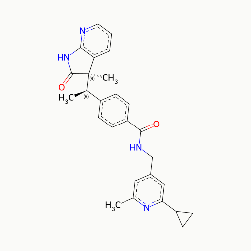 Cc1cc(CNC(=O)c2ccc([C@@H](C)[C@@]3(C)C(=O)Nc4ncccc43)cc2)cc(C2CC2)n1